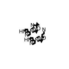 N#CC1(C(=O)N2CCN(c3ccnc4[nH]ccc34)CC23CC3)CC1.N#CCCC(=O)N1CCN(c2ccnc3[nH]ccc23)CC12CC2